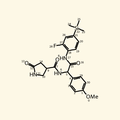 COc1ccc(C(NC(=O)C2CNC(=O)C2)C(=O)Nc2ccc([Si](C)(C)C)cc2F)cc1